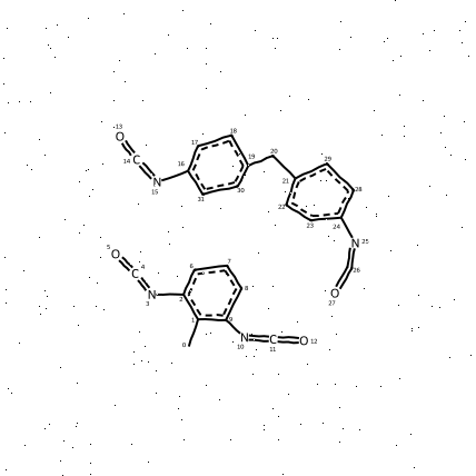 Cc1c(N=C=O)cccc1N=C=O.O=C=Nc1ccc(Cc2ccc(N=C=O)cc2)cc1